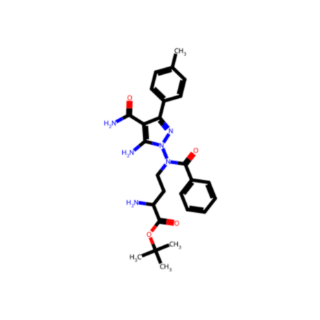 Cc1ccc(-c2nn(N(CCC(N)C(=O)OC(C)(C)C)C(=O)c3ccccc3)c(N)c2C(N)=O)cc1